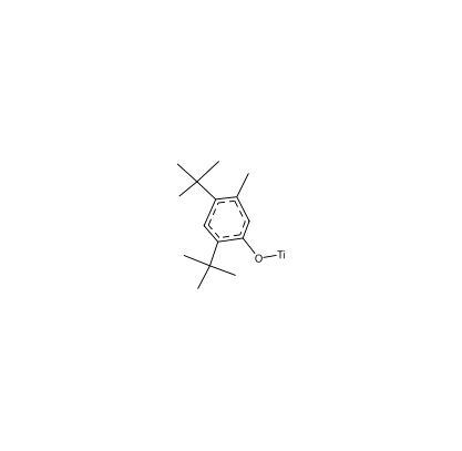 Cc1cc([O][Ti])c(C(C)(C)C)cc1C(C)(C)C